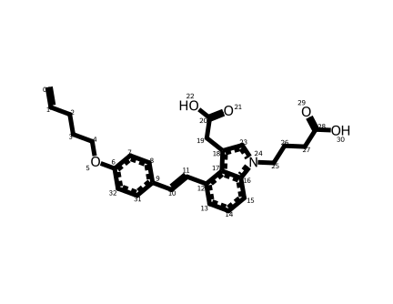 C=CCCCOc1ccc(C=Cc2cccc3c2c(CC(=O)O)cn3CCCC(=O)O)cc1